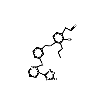 CCCc1c(OCc2cccc(Sc3ncccc3-c3nn[nH]n3)c2)ccc(CC=O)c1O